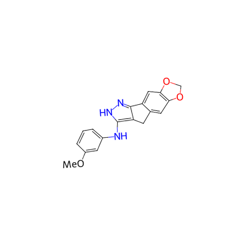 COc1cccc(Nc2[nH]nc3c2Cc2cc4c(cc2-3)OCO4)c1